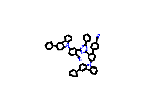 N#Cc1ccc(-c2ccc(-n3c4ccccc4c4cc(-c5ccccc5)ccc43)cc2-c2nc(-c3ccccc3)nc(-c3cc(-n4c5ccccc5c5cc(-c6ccccc6)ccc54)ccc3C#N)n2)cc1